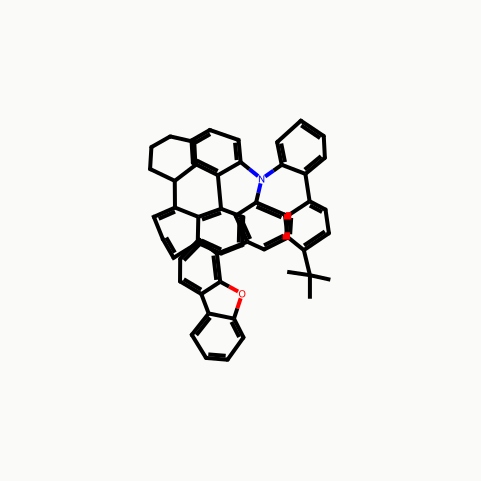 CC(C)(C)c1ccc(-c2ccccc2N(c2cccc(-c3cccc4c3oc3ccccc34)c2)c2ccccc2-c2cccc3cccc(C4CCCCC4)c23)cc1